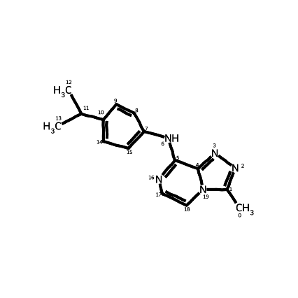 Cc1nnc2c(Nc3ccc(C(C)C)cc3)nccn12